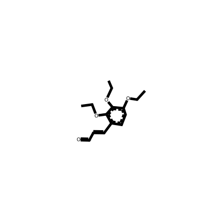 CCOc1ccc(C=C[C]=O)c(OCC)c1OCC